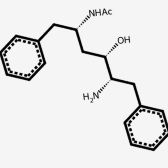 CC(=O)N[C@@H](Cc1ccccc1)C[C@H](O)[C@@H](N)Cc1ccccc1